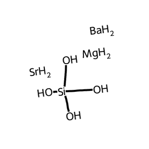 O[Si](O)(O)O.[BaH2].[MgH2].[SrH2]